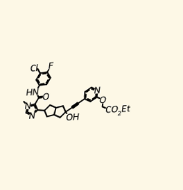 CCOC(=O)COc1cc(C#CC2(O)CC3CC(c4ncn(C)c4C(=O)Nc4ccc(F)c(Cl)c4)CC3C2)ccn1